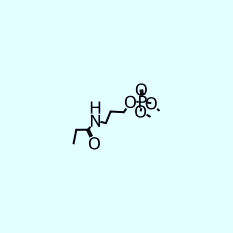 CCC(=O)NCCCOP(=O)(OC)OC